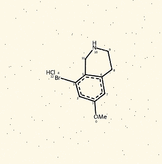 COc1cc(Br)c2c(c1)CCNC2.Cl